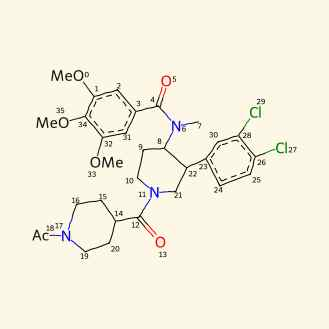 COc1cc(C(=O)N(C)C2CCN(C(=O)C3CCN(C(C)=O)CC3)CC2c2ccc(Cl)c(Cl)c2)cc(OC)c1OC